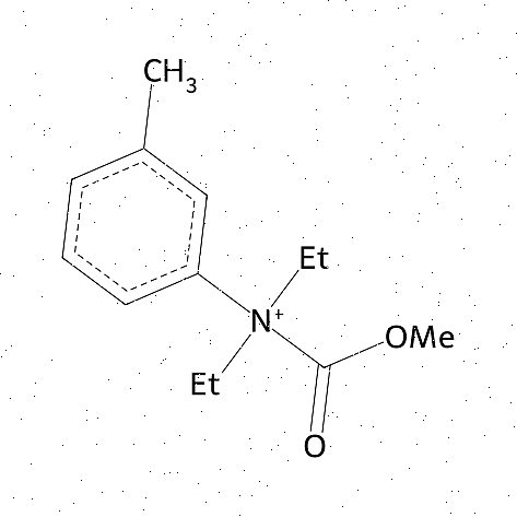 CC[N+](CC)(C(=O)OC)c1cccc(C)c1